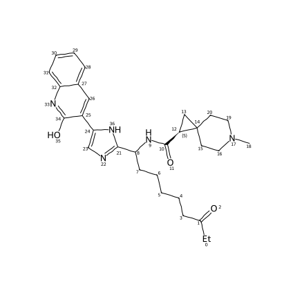 CCC(=O)CCCCCC(NC(=O)[C@H]1CC12CCN(C)CC2)c1ncc(-c2cc3ccccc3nc2O)[nH]1